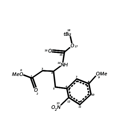 COC(=O)CC(Cc1cc(OC)ccc1[N+](=O)[O-])NC(=O)OC(C)(C)C